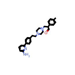 Cc1ccc(C(C=O)CN2CCN(CCc3ccc(-c4cccc(N)n4)cc3)CC2)cc1